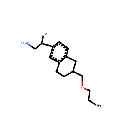 CCCC(CN)c1ccc2c(c1)CCC(COCCC(C)(C)C)C2